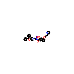 O=C(NCCN1CCC(OC(c2ccccc2)c2ccccc2)CC1)c1cc2cccc(OCCCc3ccccn3)c2cc1O